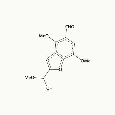 COc1c(C=O)cc(OC)c2oc(C(O)OC)cc12